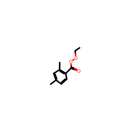 [CH2]COOC(=O)c1ccc(C)cc1C